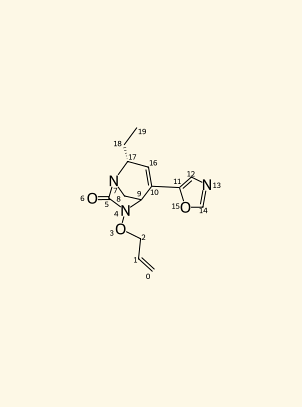 C=CCON1C(=O)N2CC1C(c1cnco1)=C[C@H]2CC